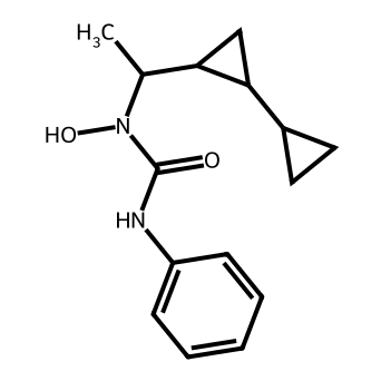 CC(C1CC1C1CC1)N(O)C(=O)Nc1ccccc1